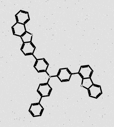 c1ccc(-c2ccc(N(c3ccc(-c4ccc5c(c4)sc4c6ccccc6ccc54)cc3)c3ccc(-c4cccc5c4oc4ccccc45)cc3)cc2)cc1